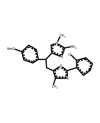 COc1ccc(C(Cc2oc(-c3ccccc3Cl)nc2C)c2cn(C)c(N)n2)cc1